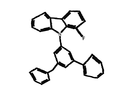 Fc1cccc2c3ccccc3n(-c3cc(-c4ccccc4)cc(-c4ccccc4)c3)c12